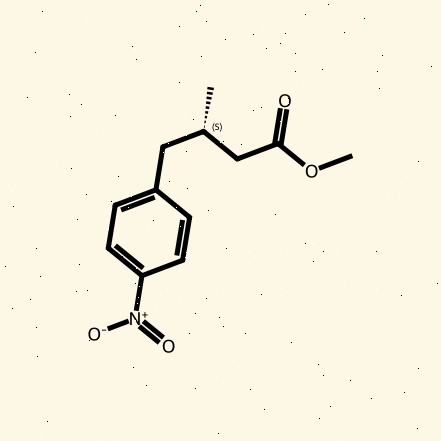 COC(=O)C[C@@H](C)Cc1ccc([N+](=O)[O-])cc1